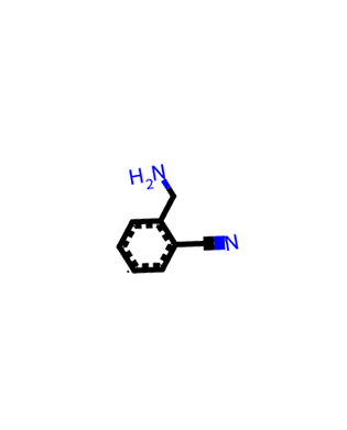 N#Cc1c[c]ccc1CN